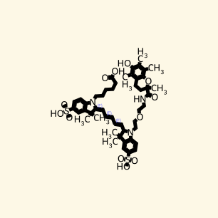 Cc1c(C)c2c(c(C)c1O)CCC(C)(C(=O)NCCOCCN1c3ccc(S(=O)(=O)O)cc3C(C)(C)C1/C=C/C=C/C=C1/N(CCCCCC(=O)O)c3ccc(S(=O)(=O)O)cc3C1(C)C)O2